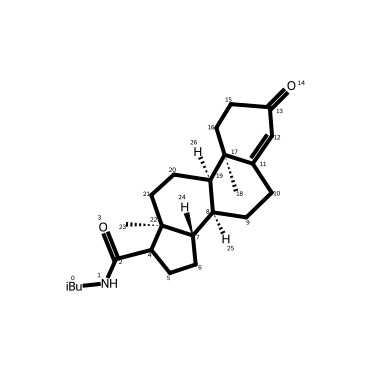 CCC(C)NC(=O)C1CC[C@H]2[C@@H]3CCC4=CC(=O)CC[C@]4(C)[C@@H]3CC[C@]12C